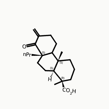 C=C1CCC2[C@](CCC)(CC[C@@H]3[C@](C)(C(=O)O)CCC[C@@]23C)C1=O